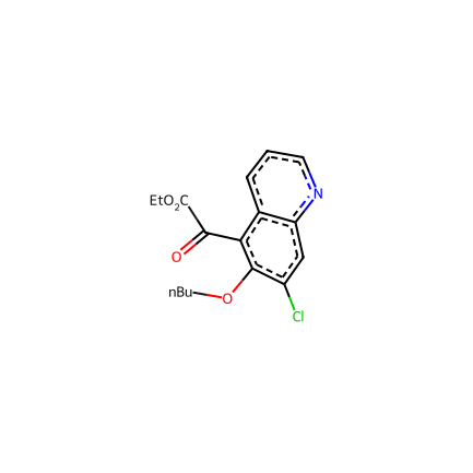 CCCCOc1c(Cl)cc2ncccc2c1C(=O)C(=O)OCC